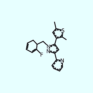 Cc1cc(-c2cc(-c3ccccn3)nn2CC2CC=CC=C2F)c(C)s1